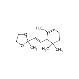 CC1=CCCC(C)(C)C1C=CC1(C)OCCO1